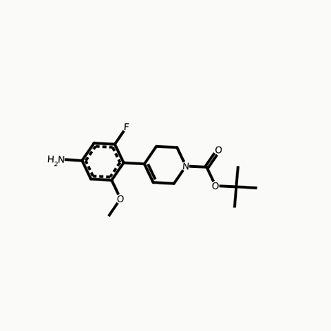 COc1cc(N)cc(F)c1C1=CCN(C(=O)OC(C)(C)C)CC1